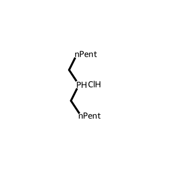 CCCCCCPCCCCCC.Cl